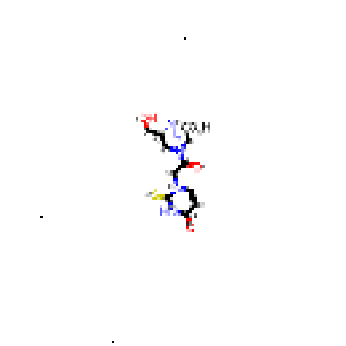 N[C@@H](CO)CN(CC(=O)O)C(=O)Cn1ccc(=O)[nH]c1=S